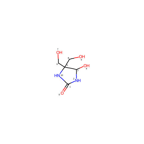 O=C1NC(O)C(CO)(CO)N1